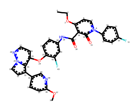 CCOc1ccn(-c2ccc(F)cc2)c(=O)c1C(=O)Nc1ccc(Oc2ccnn3ccc(-c4ccc(OC)nc4)c23)c(F)c1